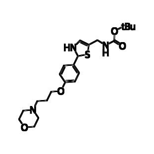 CC(C)(C)OC(=O)NCC1=CNC(c2ccc(OCCCN3CCOCC3)cc2)S1